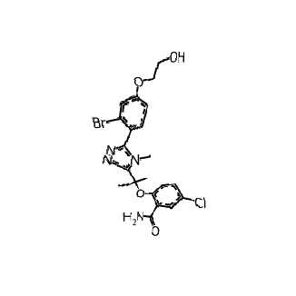 Cn1c(-c2ccc(OCCO)cc2Br)nnc1C(C)(C)Oc1ccc(Cl)cc1C(N)=O